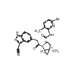 Cc1ccc(Br)nc1NC(=O)[C@@H]1C[C@@]2(C)C[C@H]2N1C(=O)Cc1ccc2[nH]nc(C#N)c2c1